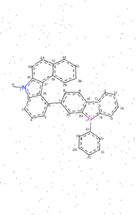 Cn1c2cccc(-c3ccc4c5ccccc5p(-c5ccccc5)c4c3)c2c2c3ccccc3ccc21